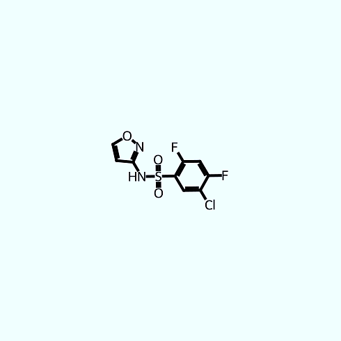 O=S(=O)(Nc1ccon1)c1cc(Cl)c(F)cc1F